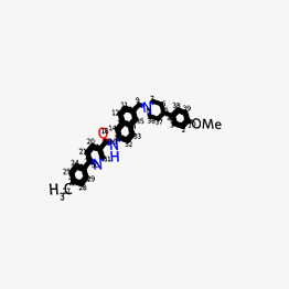 COc1ccc(C2CCN(Cc3ccc4cc(NC(=O)c5ccc(-c6ccc(C)cc6)nc5)ccc4c3)CC2)cc1